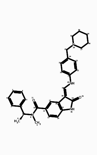 C[C@@H](c1ccccc1)N(C)C(=O)c1ccc2c(c1)C(=CNc1ccc(CN3CCCCC3)cc1)C(=O)N2